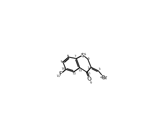 O=C1C(=CBr)CSc2ccc(F)cc21